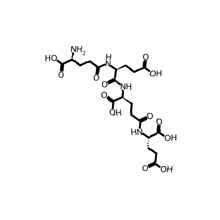 N[C@@H](CCC(=O)N[C@@H](CCC(=O)O)C(=O)N[C@@H](CCC(=O)N[C@@H](CCC(=O)O)C(=O)O)C(=O)O)C(=O)O